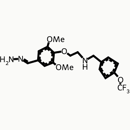 COc1cc(C=NN)cc(OC)c1OCCNCc1ccc(OC(F)(F)F)cc1